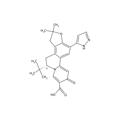 CC1(C)Cc2c3c(cc(-c4ccn[nH]4)c2O1)-c1cc(=O)c(C(=O)O)cn1[C@H](C(C)(C)C)C3